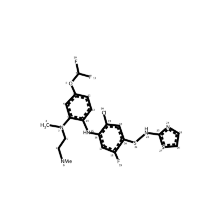 CNCCN(C)c1cc(OC(F)F)ccc1Nc1cc(F)c(SNc2nccs2)cc1Cl